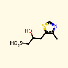 Cc1ncsc1CC(O)CS(=O)(=O)O